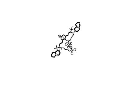 CC1(C)C(=CC=C2CCCC(C=CC3=[N+](CCCCS(=O)(=O)[O-])c4ccc5ccccc5c4C3(C)C)=C2Cl)N(CCCCS(=O)(=O)O)c2ccc3ccccc3c21.N